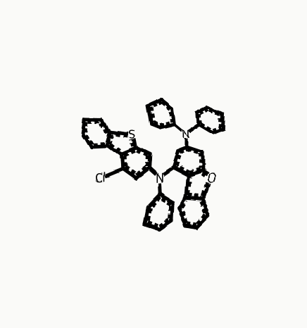 Clc1cc(N(c2ccccc2)c2cc(N(c3ccccc3)c3ccccc3)cc3oc4ccccc4c23)cc2sc3ccccc3c12